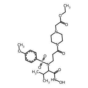 CCOC(=O)CN1CCN(C(=O)CCN(C(C(=O)NO)C(C)C)S(=O)(=O)c2ccc(OC)cc2)CC1